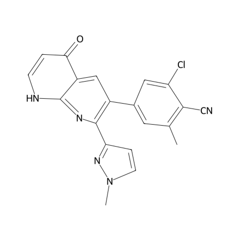 Cc1cc(-c2cc3c(=O)cc[nH]c3nc2-c2ccn(C)n2)cc(Cl)c1C#N